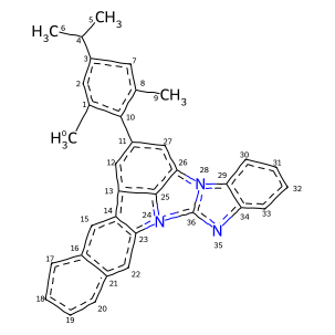 Cc1cc(C(C)C)cc(C)c1-c1cc2c3cc4ccccc4cc3n3c2c(c1)n1c2ccccc2nc13